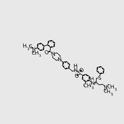 Cc1cc(S(=O)(=O)NCc2ccc(N3CCN(C(=O)c4ccccc4-c4ccc(N(C)C)cc4)CC3)cc2)ccc1N[C@H](CCN(C)C)CSc1ccccc1